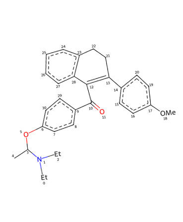 CCN(CC)C(C)Oc1ccc(C(=O)C2=C(c3ccc(OC)cc3)CCc3ccccc32)cc1